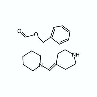 C(=C1CCNCC1)N1CCCCC1.O=COCc1ccccc1